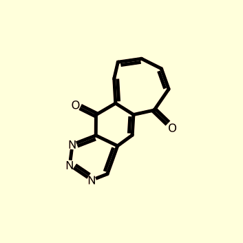 O=c1cccccc2c(=O)c3nnncc3cc1-2